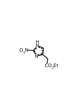 CCOC(=O)Cc1c[nH]c([N+](=O)[O-])n1